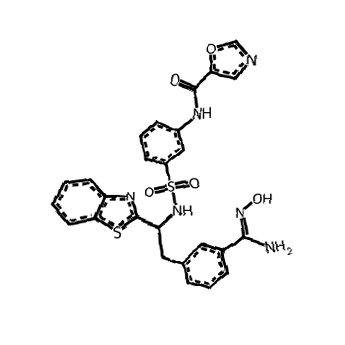 NC(=NO)c1cccc(CC(NS(=O)(=O)c2cccc(NC(=O)c3cnco3)c2)c2nc3ccccc3s2)c1